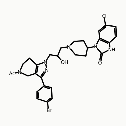 CC(=O)N1CCc2c(c(-c3ccc(Br)cc3)nn2CC(O)CN2CCC(n3c(=O)[nH]c4ccc(Cl)cc43)CC2)C1